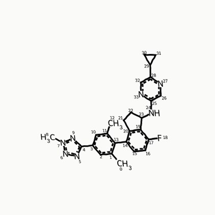 Cc1cc(-c2nnn(C)n2)cc(C)c1-c1ccc(F)c2c1CCC2Nc1cnc(C2CC2)cn1